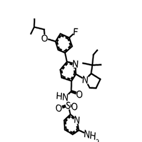 CCC(C)(C)C1CCCN1c1nc(-c2cc(F)cc(OCC(C)C)c2)ccc1C(=O)NS(=O)(=O)c1cccc(N)n1